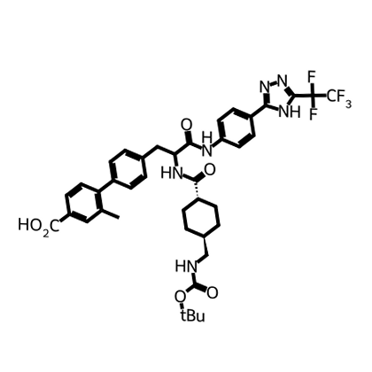 Cc1cc(C(=O)O)ccc1-c1ccc(CC(NC(=O)[C@H]2CC[C@H](CNC(=O)OC(C)(C)C)CC2)C(=O)Nc2ccc(-c3nnc(C(F)(F)C(F)(F)F)[nH]3)cc2)cc1